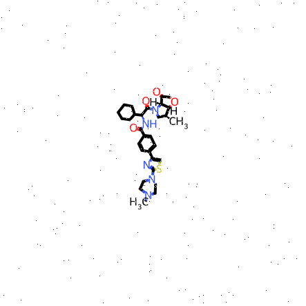 C[C@H]1CN(C(=O)[C@@H](NC(=O)c2ccc(-c3csc(N4CCN(C)CC4)n3)cc2)C2CCCCC2)[C@@H]2C(=O)CO[C@@H]21